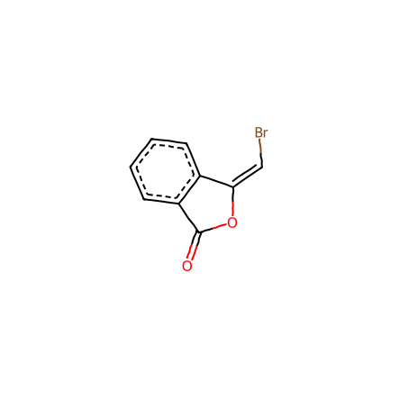 O=C1O/C(=C/Br)c2ccccc21